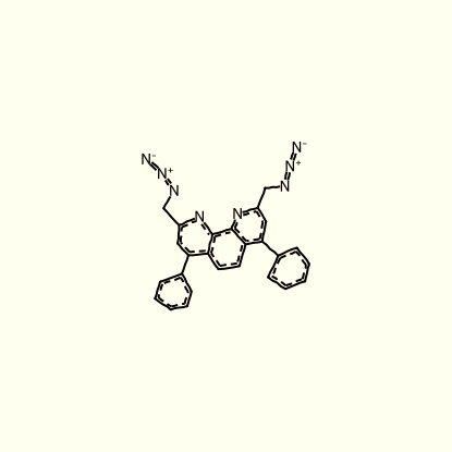 [N-]=[N+]=NCc1cc(-c2ccccc2)c2ccc3c(-c4ccccc4)cc(CN=[N+]=[N-])nc3c2n1